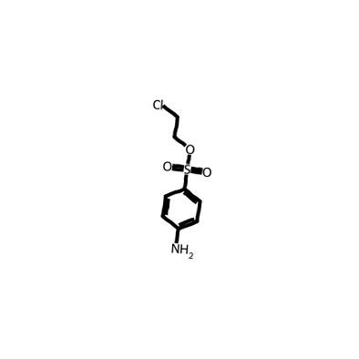 Nc1ccc(S(=O)(=O)OCCCl)cc1